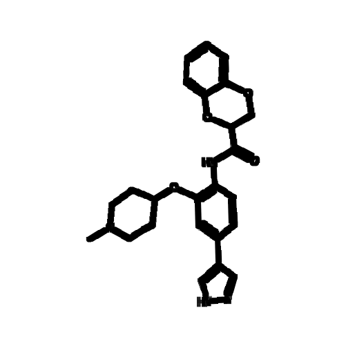 CN1CCC(Oc2cc(-c3cn[nH]c3)ccc2NC(=O)C2COc3ccccc3O2)CC1